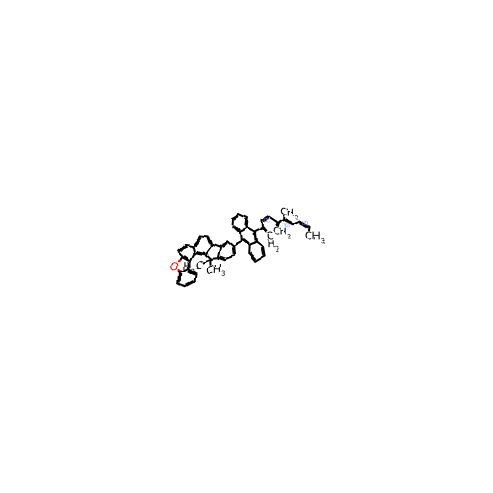 C=C(/C=C\C(=C)c1c2ccccc2c(-c2ccc3c(c2)-c2ccc4ccc5oc6ccccc6c5c4c2C3(C)C)c2ccccc12)/C(C)=C/C=C\C